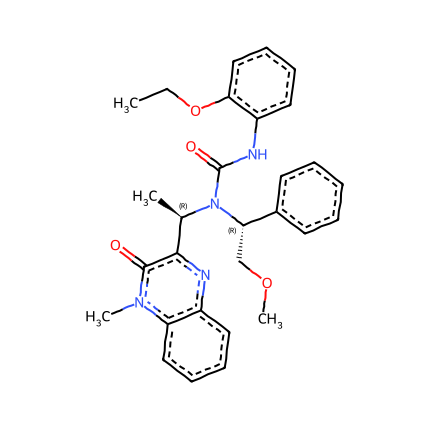 CCOc1ccccc1NC(=O)N([C@H](C)c1nc2ccccc2n(C)c1=O)[C@@H](COC)c1ccccc1